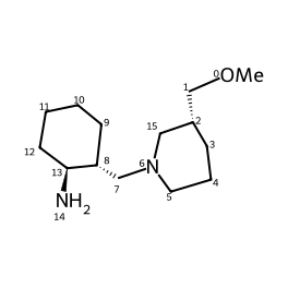 COC[C@@H]1CCCN(C[C@H]2CCCC[C@@H]2N)C1